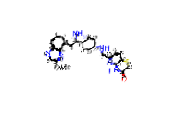 COc1cnc2cccc(C[C@@H](N)[C@H]3CC[C@H](NCc4ccc5c(n4)NC(=O)CS5)CC3)c2n1